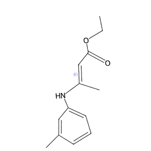 CCOC(=O)/C=C(\C)Nc1cccc(C)c1